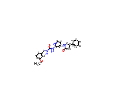 COc1cccc(CNC(=O)Nc2cc(N3CC(c4ccccc4)CC3=O)ccn2)c1